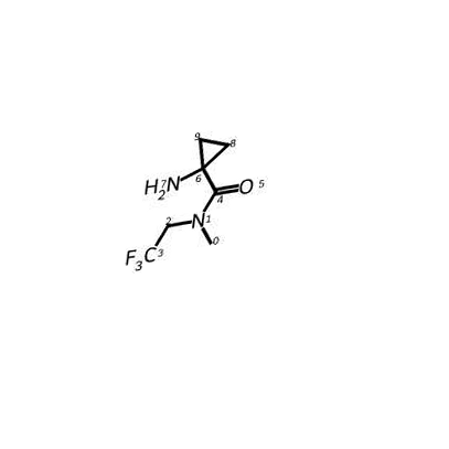 CN(CC(F)(F)F)C(=O)C1(N)CC1